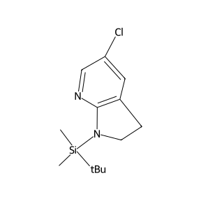 CC(C)(C)[Si](C)(C)N1CCc2cc(Cl)cnc21